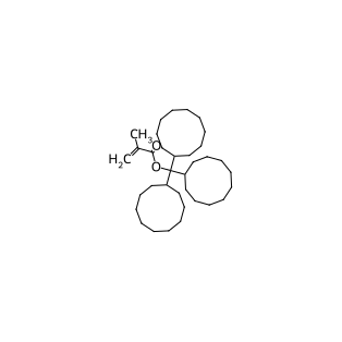 C=C(C)C(=O)OC(C1CCCCCCCCC1)(C1CCCCCCCCC1)C1CCCCCCCCC1